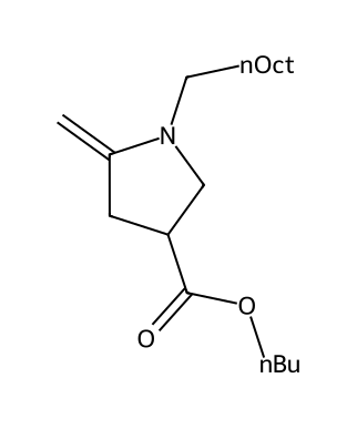 C=C1CC(C(=O)OCCCC)CN1CCCCCCCCC